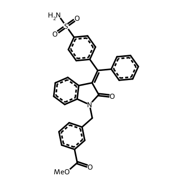 COC(=O)c1cccc(CN2C(=O)/C(=C(\c3ccccc3)c3ccc(S(N)(=O)=O)cc3)c3ccccc32)c1